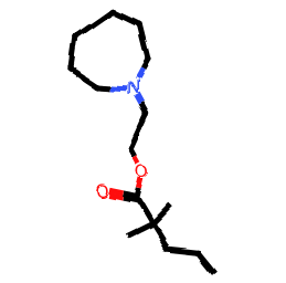 CCCC(C)(C)C(=O)OCCN1CCCCCC1